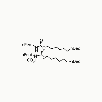 CCCCCCCCCCCCCCCCOC(=O)N(CCCCC)C(=O)O.CCCCCCCCCCCCCCCCOC(=O)NCCCCC